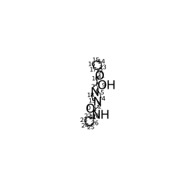 O=C(CN1CCN(CC(O)COc2ccccc2)CC1)Nc1ccccc1